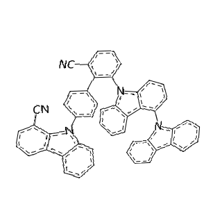 N#Cc1cccc(-n2c3ccccc3c3c(-n4c5ccccc5c5ccccc54)cccc32)c1-c1ccc(-n2c3ccccc3c3cccc(C#N)c32)cc1